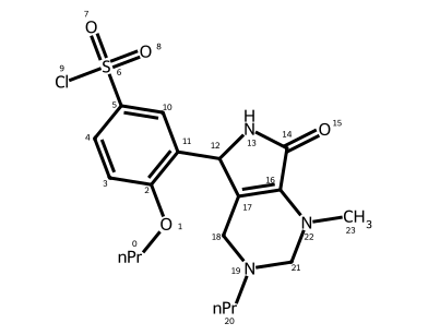 CCCOc1ccc(S(=O)(=O)Cl)cc1C1NC(=O)C2=C1CN(CCC)CN2C